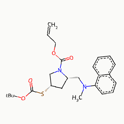 C=CCOC(=O)N1C[C@@H](SC(=O)OC(C)(C)C)C[C@H]1CN(C)c1cccc2ccccc12